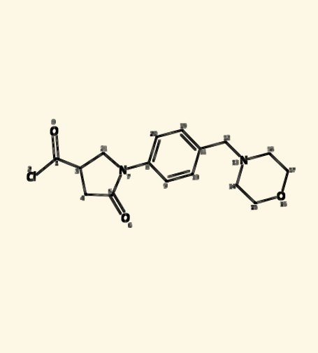 O=C(Cl)C1CC(=O)N(c2ccc(CN3CCOCC3)cc2)C1